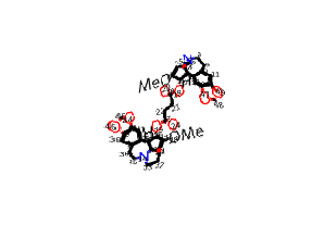 COC1=C[C@]23CCCN2CCc2cc4c(cc2[C@@H]3[C@@H]1OC(=O)CCC(=O)O[C@@H]1C(OC)=C[C@]23CCCN2CCc2cc5c(cc2[C@H]13)OCO5)OCO4